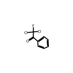 O=C(c1ccccc1)C(F)(Cl)Cl